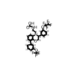 O=C(O)NCCN1c2cccc(-c3cccc(OC(F)(F)F)c3)c2OCC1c1cccc(OC(F)(F)C(F)F)c1